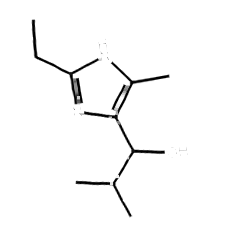 CCc1nc(C(O)C(C)C)c(C)[nH]1